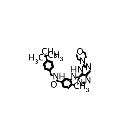 Cc1ccc(C(=O)NCc2ccc(C(C)(C)C)cc2)cc1Nc1ncnc2cnc(N3CCOCC3)nc12